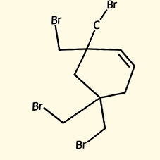 BrCC1(CBr)C=CCC(CBr)(CBr)C1